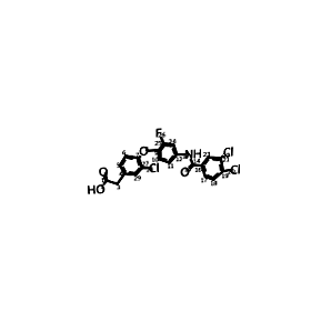 O=C(O)Cc1ccc(Oc2ccc(NC(=O)c3ccc(Cl)c(Cl)c3)cc2F)c(Cl)c1